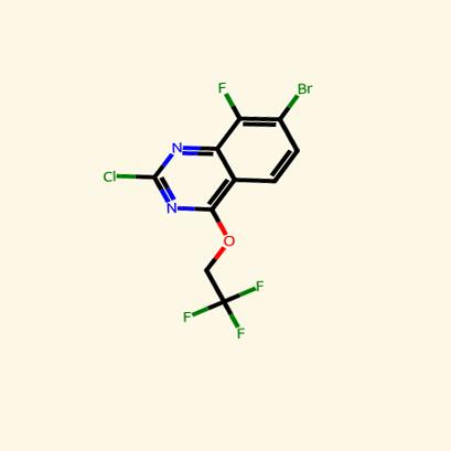 Fc1c(Br)ccc2c(OCC(F)(F)F)nc(Cl)nc12